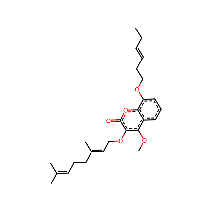 CC/C=C/CCOc1cccc2c(OC)c(OC/C=C(\C)CCC=C(C)C)c(=O)oc12